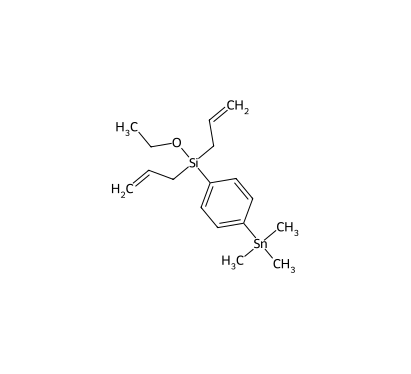 C=CC[Si](CC=C)(OCC)c1cc[c]([Sn]([CH3])([CH3])[CH3])cc1